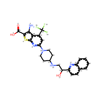 Nc1c(C(=O)O)sc2nc(N3CCC(NCC(O)c4ccc5ccccc5n4)CC3)cc(C(F)(F)F)c12